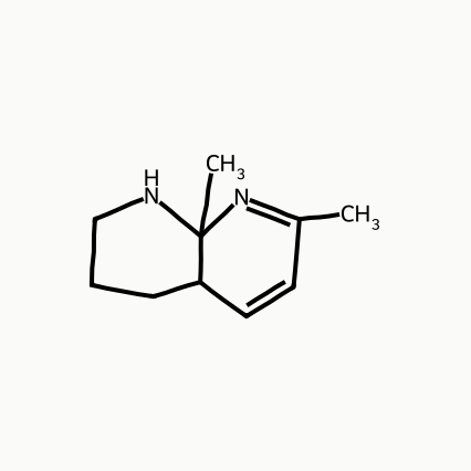 CC1=NC2(C)NCCCC2C=C1